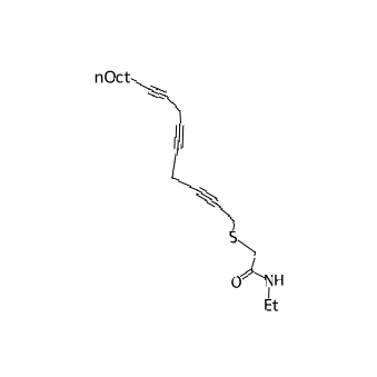 CCCCCCCCC#CCC#CCC#CCSCC(=O)NCC